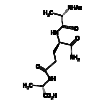 CC(=O)N[C@@H](C)C(=O)N[C@H](CCC(=O)N[C@@H](C)C(=O)O)C(N)=O